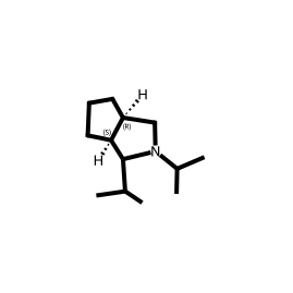 CC(C)C1[C@H]2CCC[C@H]2CN1C(C)C